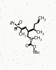 C=CC/C(C)=C(\C=C(/C)S(=O)(=O)C(C)C)CN(C)C(=O)OC(C)(C)C